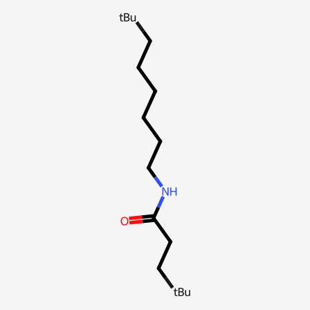 CC(C)(C)CCCCCCNC(=O)CCC(C)(C)C